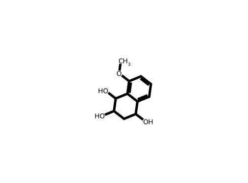 COc1cccc2c1C(O)C(O)CC2O